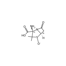 CC1(C)[S+]([O-])[C@@H]2CC(=O)N2[C@@]1(N)C(=O)O